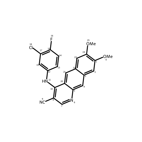 COc1cc2cc3ncc(C#N)c(Nc4ccc(F)c(Cl)c4)c3cc2cc1OC